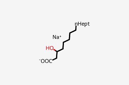 CCCCCCCCCCCCC(O)CC(=O)[O-].[Na+]